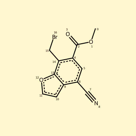 COC(=O)c1cc(C#N)c2ccoc2c1CBr